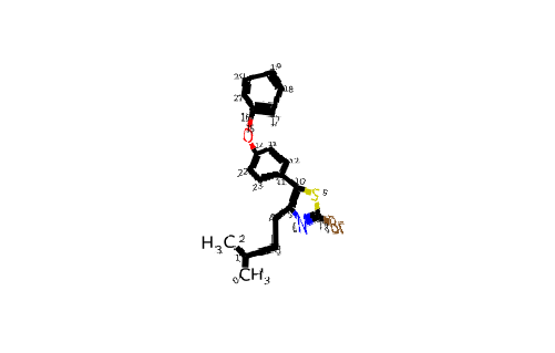 CC(C)CCc1nc(Br)sc1-c1ccc(Oc2ccccc2)cc1